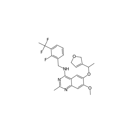 COc1cc2nc(C)nc(NCc3cccc(C(C)(F)F)c3F)c2cc1OC(C)C1=CCOC1